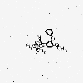 COc1ccc(C(C#N)O[Si](C)(C)C)cc1Oc1ccccc1